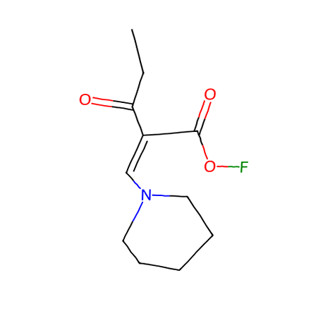 CCC(=O)C(=CN1CCCCC1)C(=O)OF